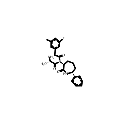 C[C@H](N)C(=O)N(C(=O)Cc1cc(F)cc(F)c1)[C@H]1CCC[C@H](c2ccccc2)NC1=O